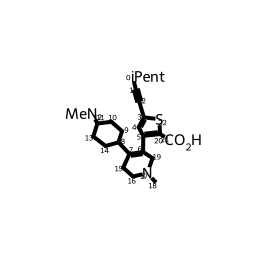 CCCC(C)C#Cc1cc(C2=C(C3CCC(NC)CC3)CCN(C)C2)c(C(=O)O)s1